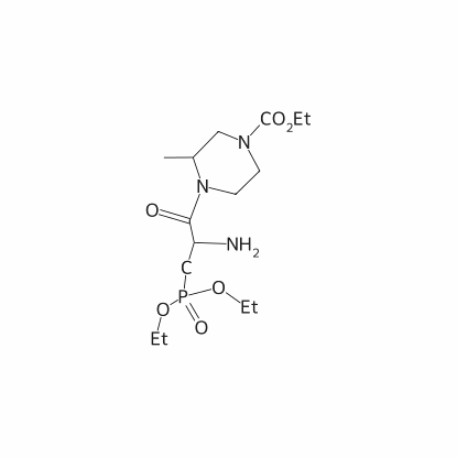 CCOC(=O)N1CCN(C(=O)C(N)CP(=O)(OCC)OCC)C(C)C1